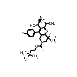 CC(C)c1nc2c(c(-c3ccc(F)cc3)c1C(O)C#N)CN(C(=O)OCC[Si](C)(C)C)CC2(C)C